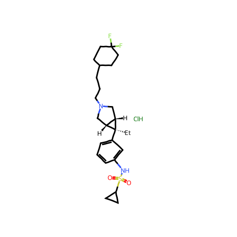 CC[C@]1(c2cccc(NS(=O)(=O)C3CC3)c2)[C@@H]2CN(CCCC3CCC(F)(F)CC3)C[C@@H]21.Cl